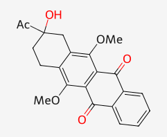 COc1c2c(c(OC)c3c1C(=O)c1ccccc1C3=O)CC(O)(C(C)=O)CC2